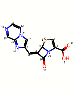 O=C(O)C1=CSC2/C(=C\c3cn4ccncc4n3)C(=O)N12